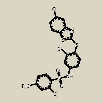 O=S(=O)(Nc1ccc(Sc2nc3cc(Cl)ccc3s2)c(Cl)c1)c1ccc(C(F)(F)F)cc1Cl